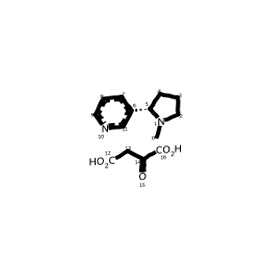 CN1CCC[C@H]1c1cccnc1.O=C(O)CC(=O)C(=O)O